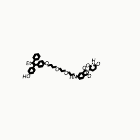 CCC(=C(c1ccc(O)cc1)c1ccc(OCCCCOCCCOCCCNc2ccc3c(c2)C(=O)N(C2CCC(=O)NC2=O)C3=O)cc1)c1ccccc1